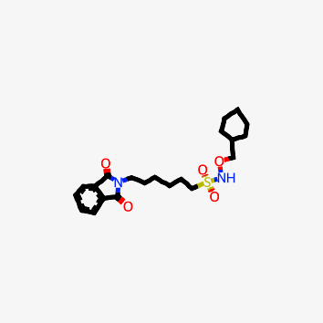 O=C1c2ccccc2C(=O)N1CCCCCCS(=O)(=O)NOCC1CCCCC1